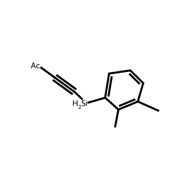 CC(=O)C#C[SiH2]c1cccc(C)c1C